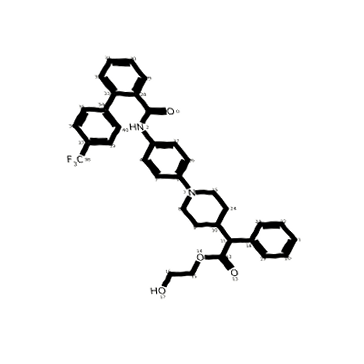 O=C(Nc1ccc(N2CCC(C(C(=O)OCCO)c3ccccc3)CC2)cc1)c1ccccc1-c1ccc(C(F)(F)F)cc1